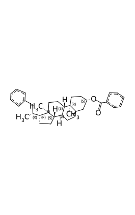 C[C@H](Cc1ccccc1)[C@H]1CC[C@H]2[C@@H]3CC=C4C[C@@H](OC(=O)c5ccccc5)CC[C@]4(C)[C@H]3CC[C@]12C